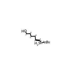 CCC[CH2][SnH2][CH]=CCCCCO